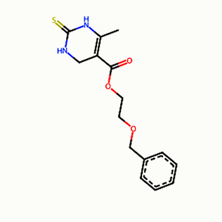 CC1=C(C(=O)OCCOCc2ccccc2)CNC(=S)N1